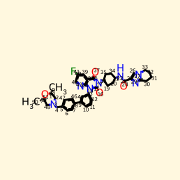 C[C@@H]1CN(Cc2ccc(-c3cccc(-n4c(=O)n(C5CCC(NC(=O)c6cn7c(n6)CCCC7)CC5)c(=O)c5cc(F)cnc54)c3)cc2)C[C@H](C)O1